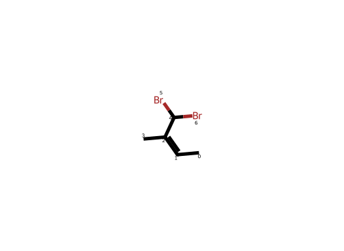 CC=C(C)C(Br)Br